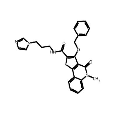 Cn1c(=O)c2c(OCc3ccccc3)c(C(=O)NCCCn3ccnc3)sc2c2ccccc21